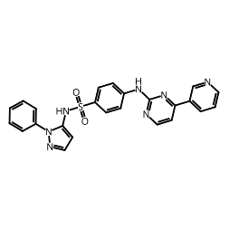 O=S(=O)(Nc1ccnn1-c1ccccc1)c1ccc(Nc2nccc(-c3cccnc3)n2)cc1